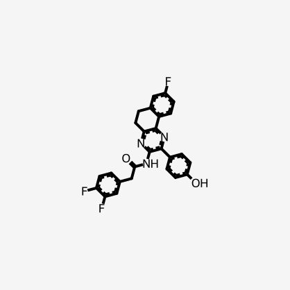 O=C(Cc1ccc(F)c(F)c1)Nc1nc2c(nc1-c1ccc(O)cc1)-c1ccc(F)cc1CC2